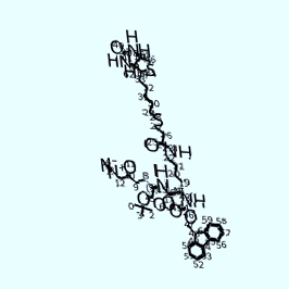 CC(C)(C)OC(=O)[C@H](CCC(=O)C=[N+]=[N-])NC(=O)[C@H](CCCCNC(=O)CCSCCCCC[C@@H]1SC[C@@H]2NC(=O)N[C@@H]21)NC(=O)OCC1c2ccccc2-c2ccccc21